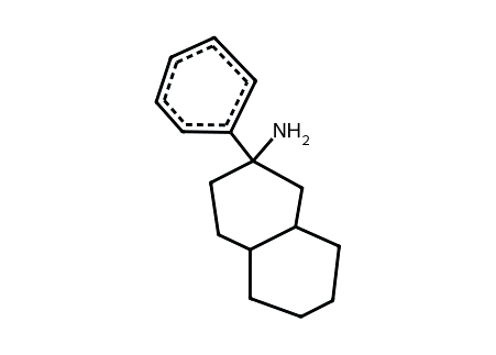 NC1(c2ccccc2)CCC2CCCCC2C1